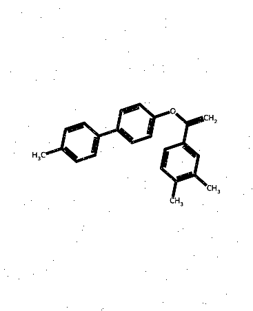 C=C(Oc1ccc(-c2ccc(C)cc2)cc1)c1ccc(C)c(C)c1